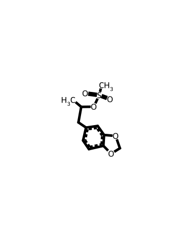 CC(Cc1ccc2c(c1)OCO2)OS(C)(=O)=O